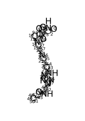 O=C1CC[C@H](N2C(=O)c3cccc(N4CCC5(CC4)CC(N4CCC(c6ccc(Nc7ncnc8c7ncn8C7CC(NC(=O)Cc8ccccc8)C7)cc6)CC4)C5)c3C2=O)C(=O)N1